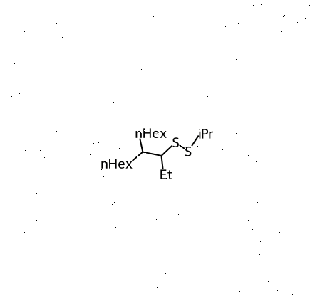 CCCCCCC(CCCCCC)C(CC)SSC(C)C